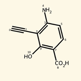 C#Cc1c(N)ccc(C(=O)O)c1O